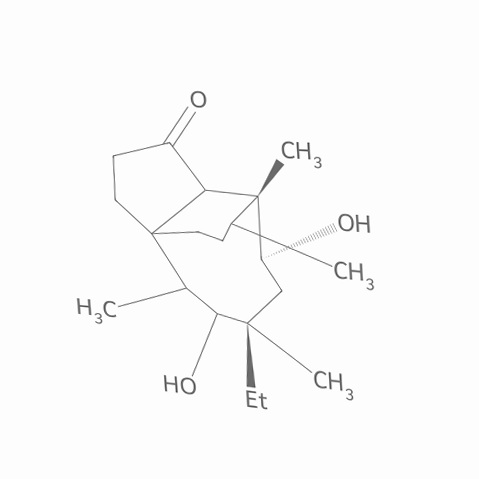 CC[C@]1(C)C[C@@H](O)[C@]2(C)C(C)CCC3(CCC(=O)C32)C(C)C1O